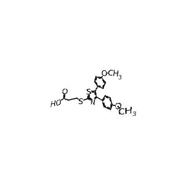 COc1ccc(-c2nc(SCCC(=O)O)sc2-c2ccc(OC)cc2)cc1